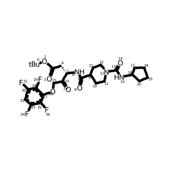 CC(C)(C)OC(=O)C[C@H](NC(=O)C1CCN(C(=O)NC2CCCC2)CC1)C(=O)COc1c(F)c(F)cc(F)c1F